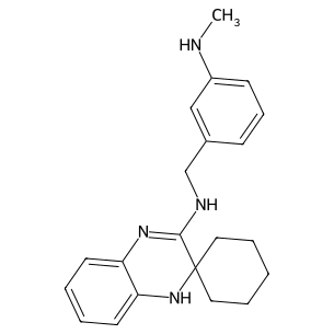 CNc1cccc(CNC2=Nc3ccccc3NC23CCCCC3)c1